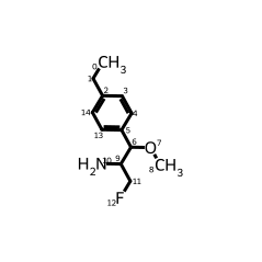 CCc1ccc(C(OC)C(N)CF)cc1